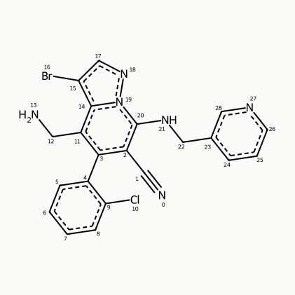 N#Cc1c(-c2ccccc2Cl)c(CN)c2c(Br)cnn2c1NCc1cccnc1